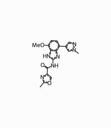 COc1ccc(-c2cnn(C)c2)c2nc(NC(=O)c3coc(C)n3)[nH]c12